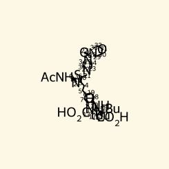 CC(=O)Nc1nc(CCc2ccc(NC(NC(=O)O)(N(C(=O)O)C(C)(C)C)C(C)(C)C)cc2)c(CN2CCN(C(=O)N3CCOCC3)CC2)s1